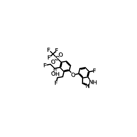 O=S(=O)(c1ccc(Oc2ccc(F)c3[nH]ncc23)c(CCF)c1[C@H](O)CF)C(F)(F)F